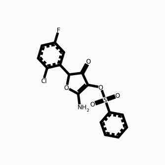 NC1=C(OS(=O)(=O)c2ccccc2)C(=O)C(c2cc(F)ccc2Cl)O1